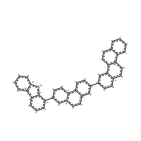 c1ccc2c(c1)ccc1c3cc(-c4ccc5c(ccc6cc(-c7cccc8c7sc7ccccc78)ccc65)c4)ccc3ccc21